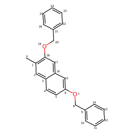 Cc1cc2ccc(OCc3ccccc3)cc2cc1OCc1ccccc1